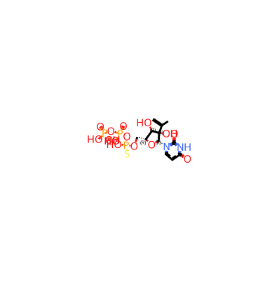 C=C(C)[C@@]1(O)[C@H](O)[C@@H](COP(O)(=S)OP(=O)(O)OP(=O)(O)O)O[C@H]1n1ccc(=O)[nH]c1=O